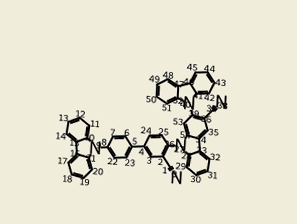 N#Cc1cc(-c2ccc(-n3c4ccccc4c4ccccc43)cc2)ccc1-n1c2ccccc2c2cc(C#N)c(-n3c4ccccc4c4ccccc43)cc21